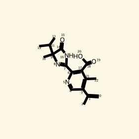 C=C(C)c1cnc(C2=NC(C)(C(C)C)C(=O)N2)c(C(=O)O)c1C